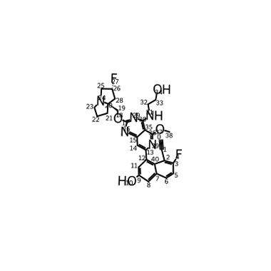 C#Cc1c(F)ccc2cc(O)cc(-c3cc4nc(OC[C@@]56CCCN5C[C@H](F)C6)nc(NCCO)c4c(OC)n3)c12